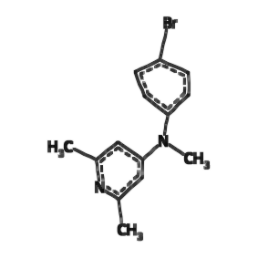 Cc1cc(N(C)c2ccc(Br)cc2)cc(C)n1